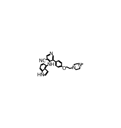 CN1CCN(CCOc2ccc(-c3cncc(C#N)c3Nc3cccc4[nH]ccc34)cc2)CC1